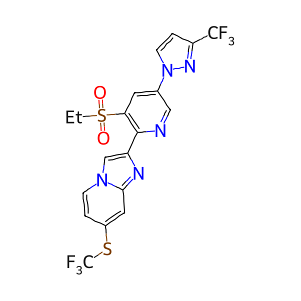 CCS(=O)(=O)c1cc(-n2ccc(C(F)(F)F)n2)cnc1-c1cn2ccc(SC(F)(F)F)cc2n1